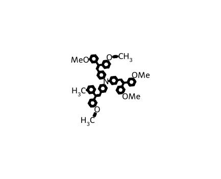 CC#COc1cccc(C(=Cc2ccc(N(c3ccc(C=C(c4cccc(OC)c4)c4cccc(OC)c4)cc3)c3ccc(C=C(c4cccc(OC)c4)c4cccc(OC#CC)c4)cc3)cc2)c2cccc(C)c2)c1